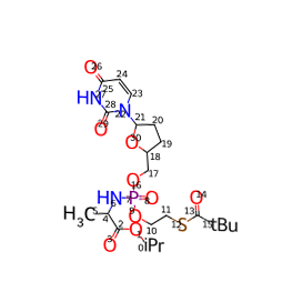 CC(C)OC(=O)C(C)NP(=O)(OCCSC(=O)C(C)(C)C)OCC1CCC(n2ccc(=O)[nH]c2=O)O1